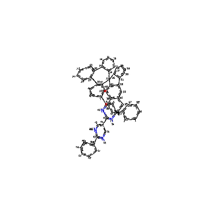 c1ccc(-c2cc(-c3ccc4c(c3)C3(c5ccccc5-c5ccccc5-4)c4ccccc4-c4cc5ccccc5cc43)nc(-c3cnc(-c4ccccc4)nc3)n2)cc1